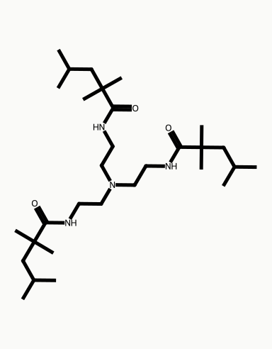 CC(C)CC(C)(C)C(=O)NCCN(CCNC(=O)C(C)(C)CC(C)C)CCNC(=O)C(C)(C)CC(C)C